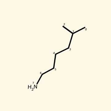 CC(C)CCCCN